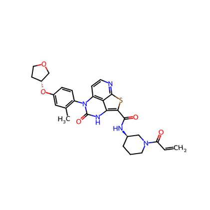 C=CC(=O)N1CCC[C@@H](NC(=O)c2sc3nccc4c3c2NC(=O)N4c2ccc(O[C@@H]3CCOC3)cc2C)C1